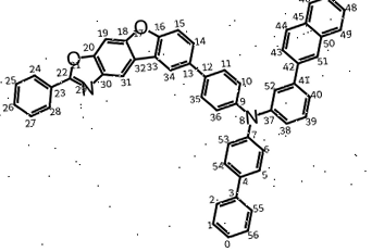 c1ccc(-c2ccc(N(c3ccc(-c4ccc5oc6cc7oc(-c8ccccc8)nc7cc6c5c4)cc3)c3cccc(-c4ccc5ccccc5c4)c3)cc2)cc1